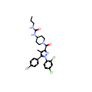 CCCNC(=O)NC1CCN(C(=O)c2nn(-c3ccc(Cl)cc3Cl)c(-c3ccc(Cl)cc3)c2C)CC1